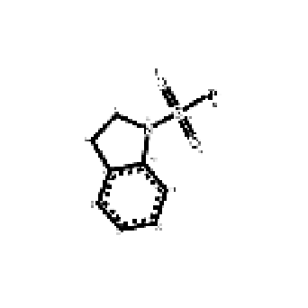 CC(C)S(=O)(=O)N1CCc2ccccc21